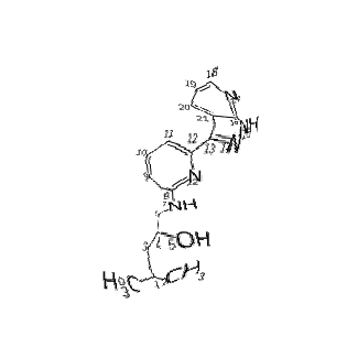 CC(C)CC(O)CNc1cccc(-c2n[nH]c3ncccc23)n1